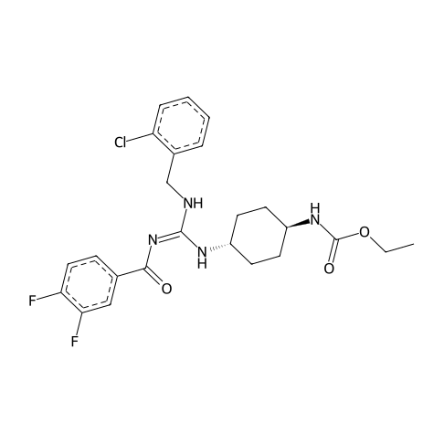 CCOC(=O)N[C@H]1CC[C@H](N/C(=N\C(=O)c2ccc(F)c(F)c2)NCc2ccccc2Cl)CC1